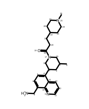 CC1CC(c2ccc(CN)c3ncccc23)CN(C(=O)CCC2CCN(C)CC2)C1